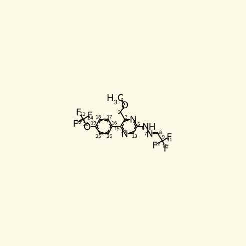 COCc1nc(N/N=C/C(F)(F)F)cnc1-c1ccc(OC(F)(F)F)cc1